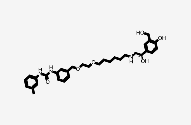 Cc1cccc(NC(=O)Nc2cccc(COCCOCCCCCCNC[C@H](O)c3ccc(O)c(CO)c3)c2)c1